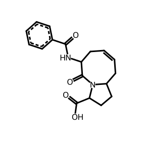 O=C(NC1CC=CCC2CCC(C(=O)O)N2C1=O)c1ccccc1